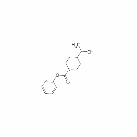 CC(C)C1CCN(C(=O)Oc2ccccc2)CC1